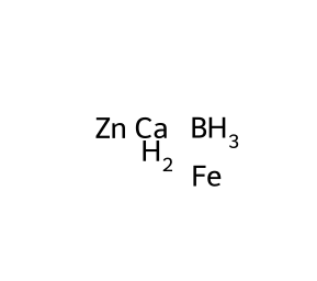 B.[CaH2].[Fe].[Zn]